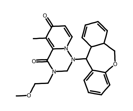 COCCN1CN(C2c3ccccc3OCC3C=CC=CC32)n2ccc(=O)c(C)c2C1=O